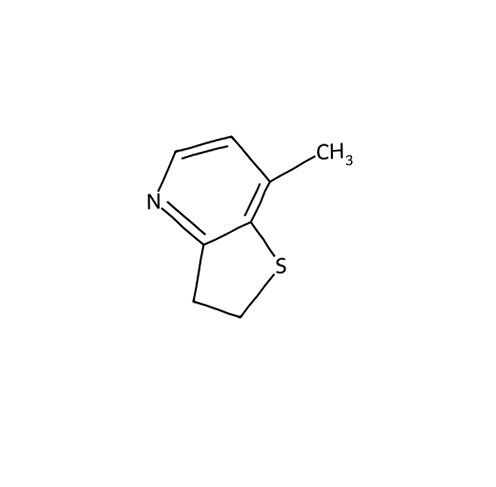 Cc1ccnc2c1SCC2